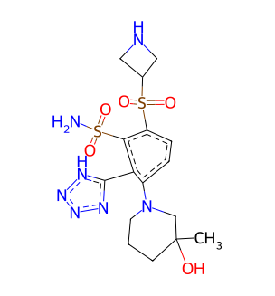 CC1(O)CCCN(c2ccc(S(=O)(=O)C3CNC3)c(S(N)(=O)=O)c2-c2nnn[nH]2)C1